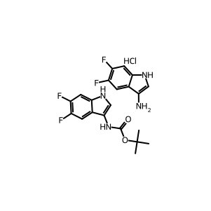 CC(C)(C)OC(=O)Nc1c[nH]c2cc(F)c(F)cc12.Cl.Nc1c[nH]c2cc(F)c(F)cc12